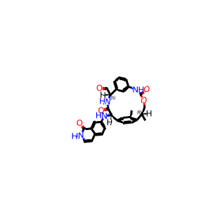 Cc1cc2ccc1[C@@H](C)COC(=O)Nc1cccc(c1)[C@@H](C=O)NC(=O)[C@@H]2Nc1ccc2cc[nH]c(=O)c2c1